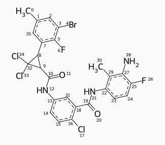 Cc1cc(Br)c(F)c(C2C(C(=O)Nc3ccc(Cl)c(C(=O)Nc4ccc(F)c(N)c4C)c3)C2(Cl)Cl)c1